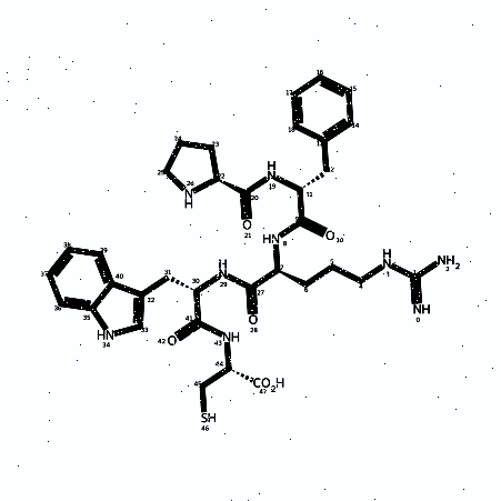 N=C(N)NCCC[C@H](NC(=O)[C@@H](Cc1ccccc1)NC(=O)[C@@H]1CCCN1)C(=O)N[C@@H](Cc1c[nH]c2ccccc12)C(=O)N[C@@H](CS)C(=O)O